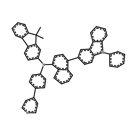 CC1(C)c2ccccc2-c2ccc(N(c3ccc(-c4ccncc4)cc3)c3ccc(-c4ccc5c(c4)c4ccccc4n5-c4ccccc4)c4ccccc34)cc21